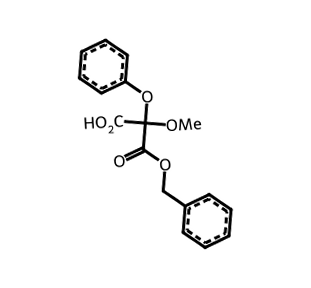 COC(Oc1ccccc1)(C(=O)O)C(=O)OCc1ccccc1